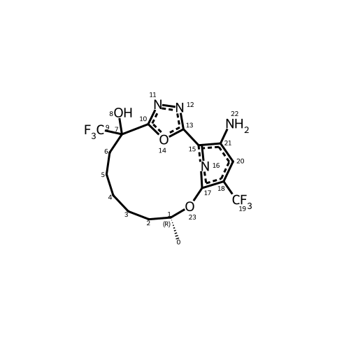 C[C@@H]1CCCCCC(O)(C(F)(F)F)c2nnc(o2)-c2nc(c(C(F)(F)F)cc2N)O1